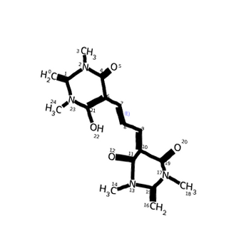 C=C1N(C)C(=O)C(/C=C/C=c2c(=O)n(C)c(=C)n(C)c2=O)=C(O)N1C